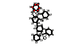 O=P(c1ccccc1)(c1ccccc1)c1ccc(-c2ccc3c4c2Sc2ccccc2[Si]4(c2ccccc2)c2ccccc2S3)cc1